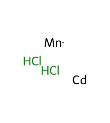 Cl.Cl.[Cd].[Mn]